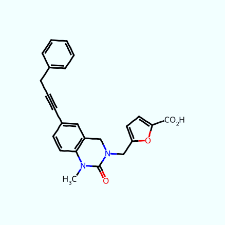 CN1C(=O)N(Cc2ccc(C(=O)O)o2)Cc2cc(C#CCc3ccccc3)ccc21